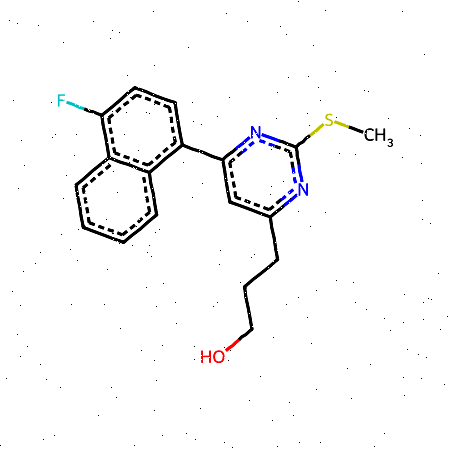 CSc1nc(CCCO)cc(-c2ccc(F)c3ccccc23)n1